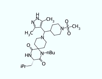 CCCCN1C(=O)[C@H](CC(C)C)NC(=O)C12CCN(C(c1c(C)n[nH]c1C)C1CCN(S(C)(=O)=O)CC1)CC2